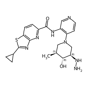 C[C@H]1CN(c2ccncc2NC(=O)c2ccc3sc(C4CC4)nc3n2)C[C@@H](NN)[C@@H]1O